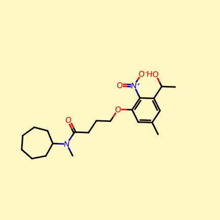 Cc1cc(OCCCC(=O)N(C)C2CCCCCC2)c([N+](=O)[O-])c(C(C)O)c1